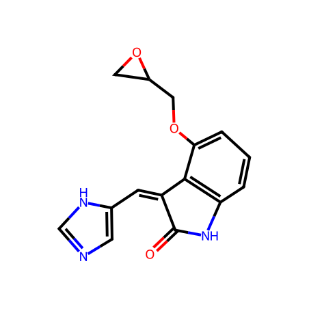 O=C1Nc2cccc(OCC3CO3)c2C1=Cc1cnc[nH]1